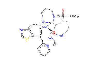 CCNC(=O)NC1(C2CNCCC2(OC)C(=O)OC)N=CC=CN1c1cc(-c2ccccn2)c2scnc2c1